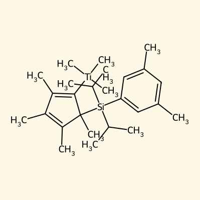 CC1=C(C)C(C)([Si](c2cc(C)cc(C)c2)(C(C)C)C(C)C)[C]([Ti]([CH3])([CH3])[CH3])=C1C